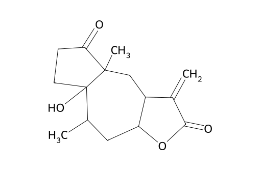 C=C1C(=O)OC2CC(C)C3(O)CCC(=O)C3(C)CC12